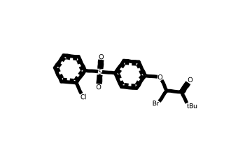 CC(C)(C)C(=O)C(Br)Oc1ccc(S(=O)(=O)c2ccccc2Cl)cc1